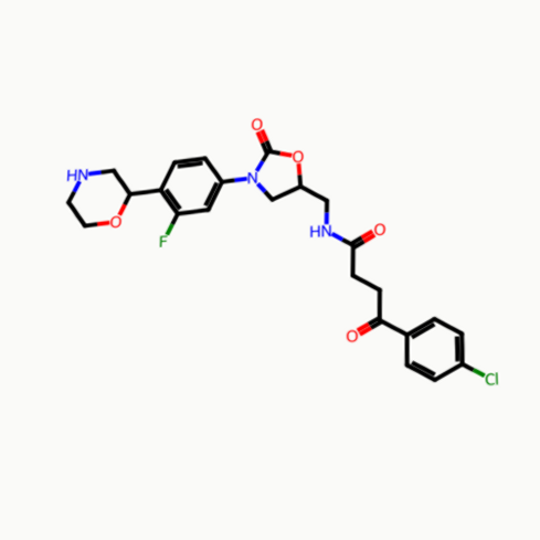 O=C(CCC(=O)c1ccc(Cl)cc1)NCC1CN(c2ccc(C3CNCCO3)c(F)c2)C(=O)O1